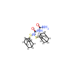 NC(=O)NC(=O)N(SC1C2CC3CC(C2)CC1C3)SC1C2CC3CC(C2)CC1C3